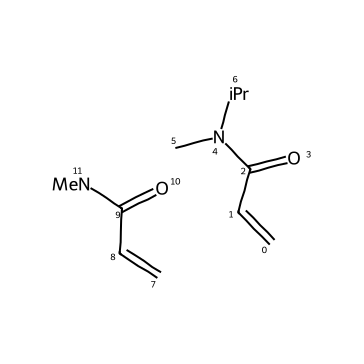 C=CC(=O)N(C)C(C)C.C=CC(=O)NC